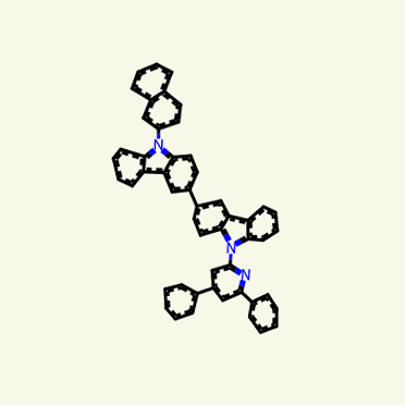 c1ccc(-c2cc(-c3ccccc3)nc(-n3c4ccccc4c4cc(-c5ccc6c(c5)c5ccccc5n6-c5ccc6ccccc6c5)ccc43)c2)cc1